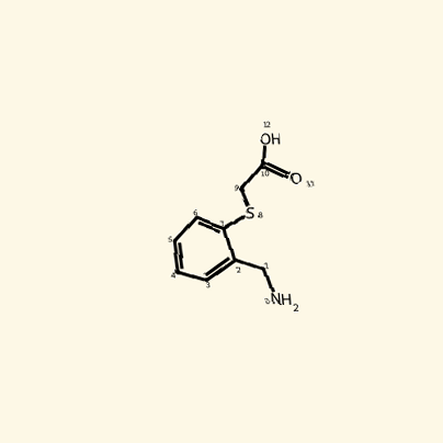 NCc1ccccc1SCC(=O)O